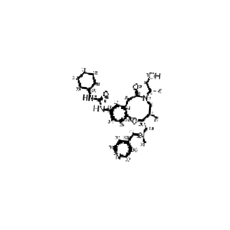 C[C@@H]1CN([C@@H](C)CO)C(=O)Cc2cc(NC(=O)NC3CCCCC3)ccc2O[C@H]1CN(C)Cc1ccncc1